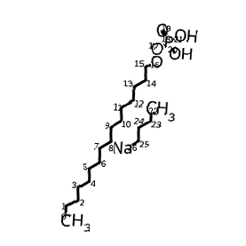 CCCCCCCCCCCCCCCCOOP(=O)(O)O.CCC[CH2][Na]